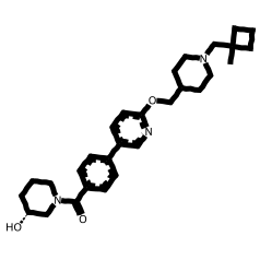 CC1(CN2CCC(COc3ccc(-c4ccc(C(=O)N5CCC[C@@H](O)C5)cc4)cn3)CC2)CCC1